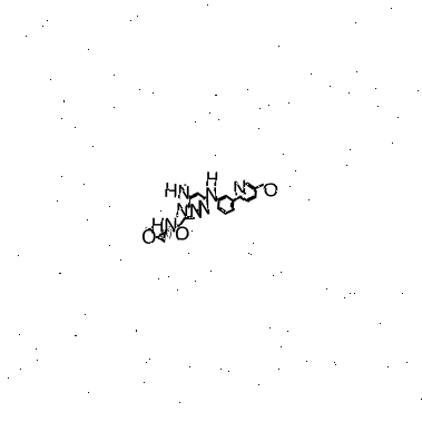 CNc1cc(Nc2cccc(-c3ccc(C=O)cn3)c2)nn2cc(C(=O)N[C@@H]3CC3OC)nc12